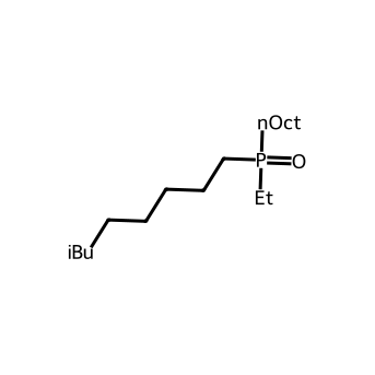 CCCCCCCCP(=O)(CC)CCCCCC(C)CC